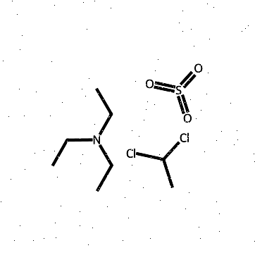 CC(Cl)Cl.CCN(CC)CC.O=S(=O)=O